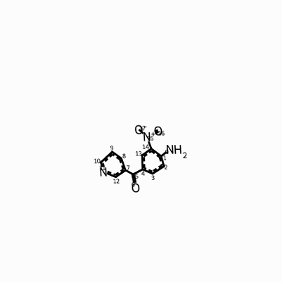 Nc1ccc(C(=O)c2cccnc2)cc1[N+](=O)[O-]